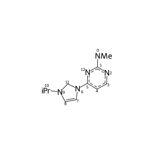 CNc1nccc(N2C=CN(C(C)C)C2)n1